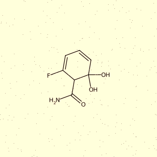 NC(=O)C1C(F)=CC=CC1(O)O